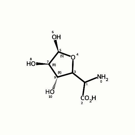 NC(C(=O)O)C1O[C@H](O)[C@H](O)[C@H]1O